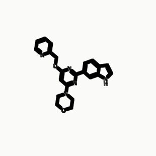 c1ccc(COc2cc(N3CCOCC3)nc(-c3ccc4cc[nH]c4c3)n2)nc1